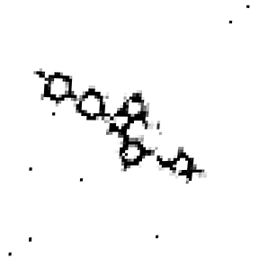 CN1CCC(N2CCC(n3cc(-c4cccc(OCC5CCC(C)(C)O5)c4)c4c(N)ncnc43)CC2)CC1